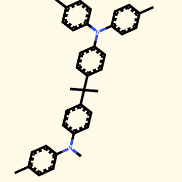 Cc1ccc(N(C)c2ccc(C(C)(C)c3ccc(N(c4ccc(C)cc4)c4ccc(C)cc4)cc3)cc2)cc1